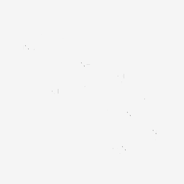 O=[N+]([O-])c1nccn1CC(O)CNC1CCNCC1O